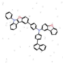 c1ccc(-n2c3ccccc3c3c4cc(-c5ccc(N(c6ccc(-c7cccc8ccccc78)cc6)c6ccc7oc8ccccc8c7c6)cc5)ccc4oc32)cc1